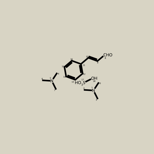 CN(C)C.CN(C)C.O=CC=Cc1ccccc1.O=S(=O)(O)O